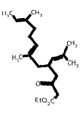 CC=C(C)CCC=C(C)CC(C=C(C)C)CC(=O)CC(=O)OCC